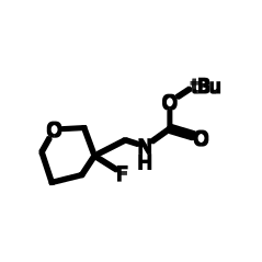 CC(C)(C)OC(=O)NCC1(F)CCCOC1